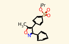 Cc1onc(-c2ccccc2)c1-c1ccc(S(=O)(=O)OC(C)C)cc1